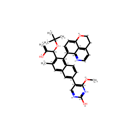 C=C(O)[C@@H](OC(C)(C)C)c1c(C)cc2cc(-c3cnc(O)nc3OC)ccc2c1-c1ccc2c3c(ccnc13)CCO2